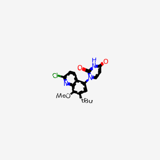 COc1c(C(C)(C)C)cc(-n2ccc(=O)[nH]c2=O)c2ccc(Cl)nc12